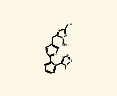 CCCCCn1nc(C(C)CC)nc1Cc1ccc(-c2ccccc2-c2nnn[nH]2)nc1